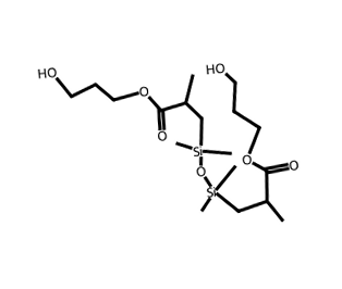 CC(C[Si](C)(C)O[Si](C)(C)CC(C)C(=O)OCCCO)C(=O)OCCCO